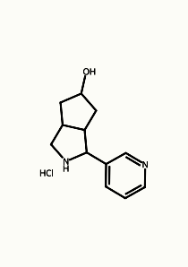 Cl.OC1CC2CNC(c3cccnc3)C2C1